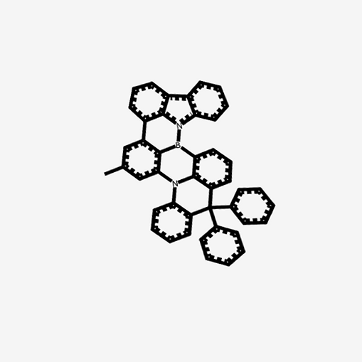 Cc1cc2c3c(c1)N1c4ccccc4C(c4ccccc4)(c4ccccc4)c4cccc(c41)B3n1c3ccccc3c3cccc-2c31